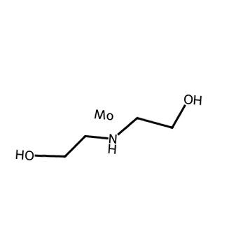 OCCNCCO.[Mo]